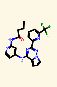 CCCC(=O)Nc1cc(Nc2nc(-c3cccc(C(F)(F)F)n3)nn3cccc23)ccn1